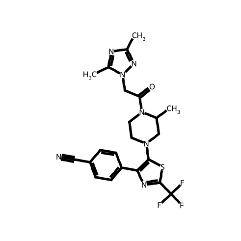 Cc1nc(C)n(CC(=O)N2CCN(c3sc(C(F)(F)F)nc3-c3ccc(C#N)cc3)CC2C)n1